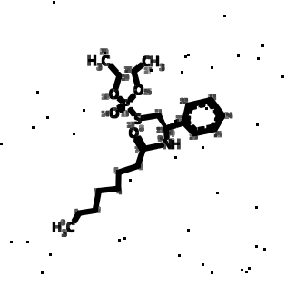 CCCCCCCC(=O)N[C@@H](CSP(=O)(OCC)OCC)c1ccccc1